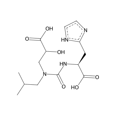 CC(C)CN(CC(O)C(=O)O)C(=O)N[C@@H](Cc1ncc[nH]1)C(=O)O